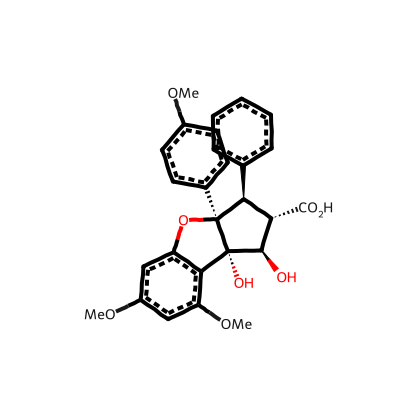 COc1ccc([C@@]23Oc4cc(OC)cc(OC)c4[C@]2(O)[C@H](O)[C@@H](C(=O)O)[C@@H]3c2ccccc2)cc1